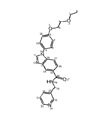 CCOCCOc1ccc(-n2cnc3cc(C(=O)NCc4cccnc4)ccc32)cc1